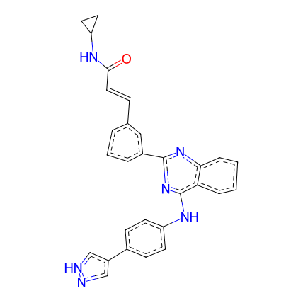 O=C(/C=C/c1cccc(-c2nc(Nc3ccc(-c4cn[nH]c4)cc3)c3ccccc3n2)c1)NC1CC1